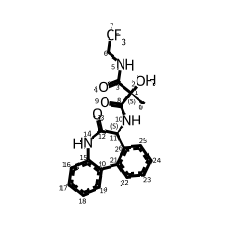 C[C@](O)(C(=O)NCC(F)(F)F)C(=O)N[C@@H]1C(=O)Nc2ccccc2-c2ccccc21